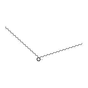 CCCCCCCCCCCCCCCCCCCCCCCCCCCc1[c]cccc1CCCCCCCCCCCCCCCCCCCCCCCCCCC